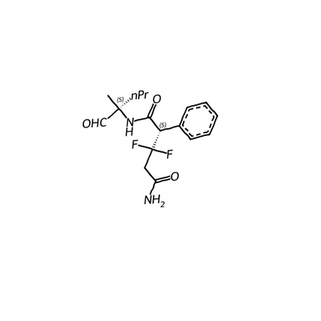 CCC[C@@](C)(C=O)NC(=O)[C@H](c1ccccc1)C(F)(F)CC(N)=O